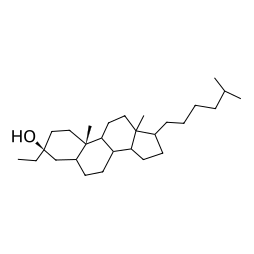 CC[C@]1(O)CC[C@@]2(C)C(CCC3C4CCC(CCCCC(C)C)C4(C)CCC32)C1